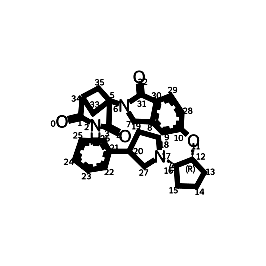 O=C1NC(=O)C2(N3Cc4cc(O[C@@H]5CCC[C@@H]5N5CCC(c6ccccc6)C5)ccc4C3=O)CC1C2